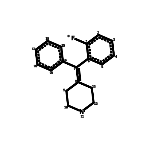 Fc1ccccc1C(=C1CC[N]CC1)c1ccccc1